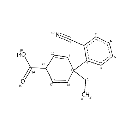 CCC1(c2ccccc2C#N)C=CC(C(=O)O)C=C1